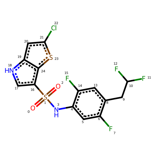 O=S(=O)(Nc1cc(F)c(CC(F)F)cc1F)c1c[nH]c2cc(Cl)sc12